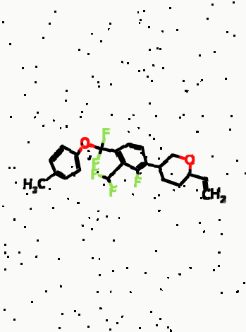 C=CC1CCC(c2ccc(C(F)(F)Oc3ccc(C)cc3)c(C(F)F)c2F)CO1